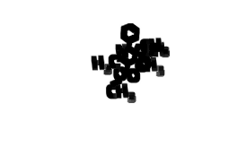 CCCOC(=O)C1=C(C)N=C(c2ccccc2)C(CC)(C(=O)O)C1C